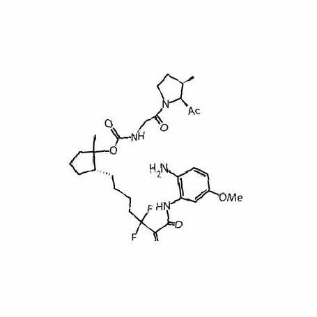 C=C(C(=O)Nc1cc(OC)ccc1N)C(F)(F)CCCC[C@@H]1CCCC1(C)OC(=O)NCC(=O)N1CC[C@@H](C)[C@H]1C(C)=O